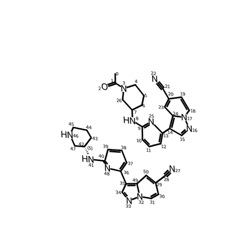 CC(=O)N1CCCC(Nc2cccc(-c3cnn4ccc(C#N)cc34)n2)C1.N#Cc1ccn2ncc(-c3cccc(N[C@H]4CCCNC4)n3)c2c1